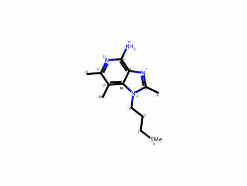 CSCCCn1c(C)nc2c(N)nc(C)c(C)c21